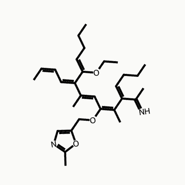 C\C=C/C=C(C(=C\CCC)\OCC)/C(C)=C/C(OCc1cnc(C)o1)=C(C)\C(=C\CCC)C(C)=N